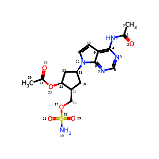 CC(=O)Nc1ncnc2c1ccn2[C@H]1C[C@@H](COS(N)(=O)=O)[C@@H](OC(C)=O)C1